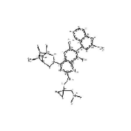 C[C@@H]1[C@H](O)C2CN(c3nc(OCC4(CN(C)C)CC4)nc4c(F)c(-c5cc(O)cc6ccccc56)c(Cl)cc34)C[C@]1(C)N2